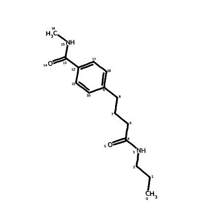 CCCNC(=O)CCCc1ccc(C(=O)NC)cc1